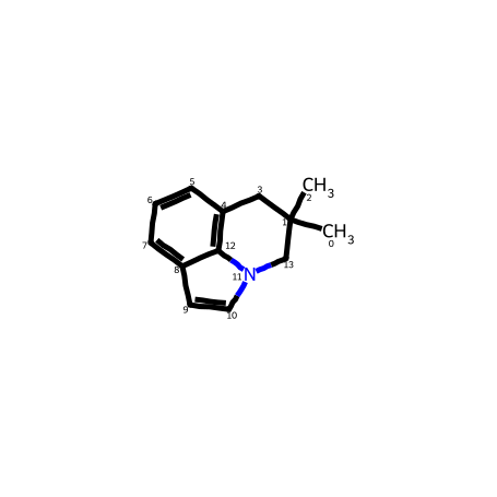 CC1(C)Cc2cccc3ccn(c23)C1